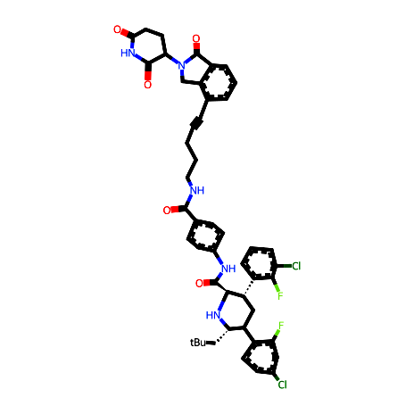 CC(C)(C)C[C@@H]1N[C@@H](C(=O)Nc2ccc(C(=O)NCCCC#Cc3cccc4c3CN(C3CCC(=O)NC3=O)C4=O)cc2)[C@H](c2cccc(Cl)c2F)CC1c1ccc(Cl)cc1F